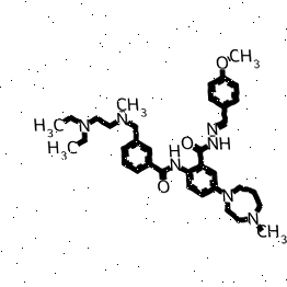 CCN(CC)CCN(C)Cc1cccc(C(=O)Nc2ccc(N3CCCN(C)CC3)cc2C(=O)NN=Cc2ccc(OC)cc2)c1